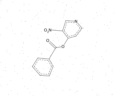 O=C(Oc1c[c]ncc1[N+](=O)[O-])c1ccccc1